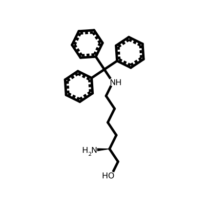 N[C@H](CO)CCCCNC(c1ccccc1)(c1ccccc1)c1ccccc1